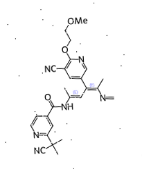 C=N/C(C)=C(\C=C(/C)NC(=O)c1ccnc(C(C)(C)C#N)c1)c1cnc(OCCOC)c(C#N)c1